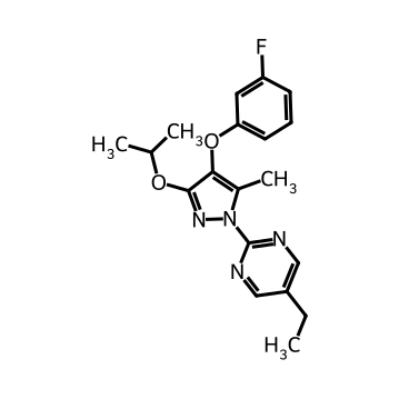 CCc1cnc(-n2nc(OC(C)C)c(Oc3cccc(F)c3)c2C)nc1